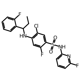 CCC(Nc1cc(F)c(S(=O)(=O)Nc2cccc(F)n2)cc1Cl)c1ccccc1F